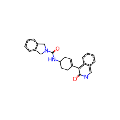 O=C1[N]C=c2ccccc2=C1C1=CCC(NC(=O)N2Cc3ccccc3C2)CC1